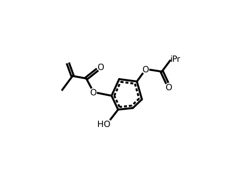 C=C(C)C(=O)Oc1cc(OC(=O)C(C)C)ccc1O